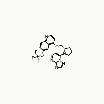 FC(F)(F)Oc1ccc2nccc(OC[C@H]3CCCN3c3ccnc4ncnn34)c2c1